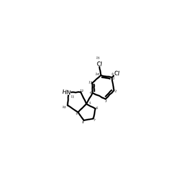 Clc1ccc(C23CCCC2CNC3)cc1Cl